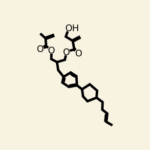 C=C(C)C(=O)OCC(COC(=O)C(=C)CO)Cc1ccc(C2CCC(CC/C=C/C)CC2)cc1